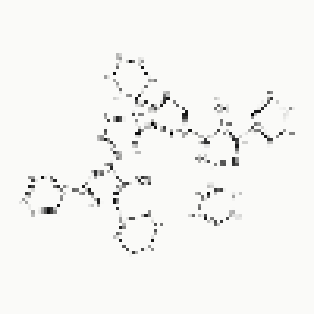 N#Cc1c(C2=CCCCC2)nc(-c2ccccc2)nc1-c1ccc(C2(c3ccc(-c4nc(-c5ccccc5)nc(-c5ccccc5)c4C#N)cc3)CCCCC2)cc1